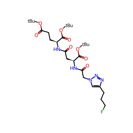 CC(C)(C)OC(=O)CC[C@H](NC(=O)C[C@H](NC(=O)Cn1cc(CCCF)nn1)C(=O)OC(C)(C)C)C(=O)OC(C)(C)C